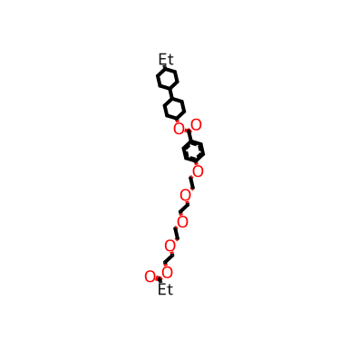 CCC(=O)OCCOCCOCCOCCOc1ccc(C(=O)OC2CCC(C3CCC(CC)CC3)CC2)cc1